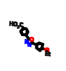 CCOc1ccc(-c2nnc(-c3ccc(C(=O)O)cc3)o2)cc1